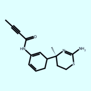 CC#CC(=O)NC1=CC([C@]2(C)CCSC(N)=N2)CC=C1